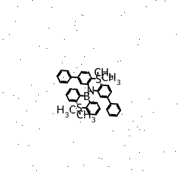 CS1(C)c2ccccc2B(N2c3cc(-c4ccccc4)ccc3S(C)(C)c3ccc(-c4ccccc4)cc32)c2ccccc21